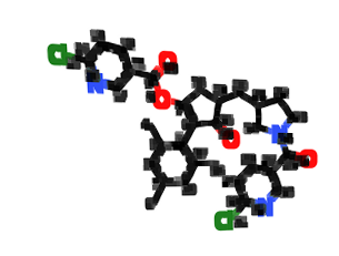 Cc1cc(C)c(C2=C(OC(=O)c3ccc(Cl)nc3)CC(CC3CCN(C(=O)c4ccc(Cl)nc4)C3)C2=O)c(C)c1